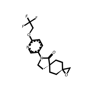 O=C1N(c2ccc(OCC(F)(F)F)nc2)CC[C@]12CC[C@@]1(CC2)CO1